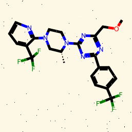 COCc1nc(-c2ccc(C(F)(F)F)cc2)nc(N2CCN(c3ncccc3C(F)(F)F)C[C@H]2C)n1